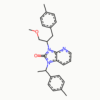 COCC(Cc1ccc(C)cc1)n1c(=O)n(C(C)c2ccc(C)cc2)c2cccnc21